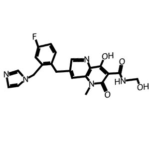 Cn1c(=O)c(C(=O)NCO)c(O)c2ncc(Cc3ccc(F)cc3Cn3ccnc3)cc21